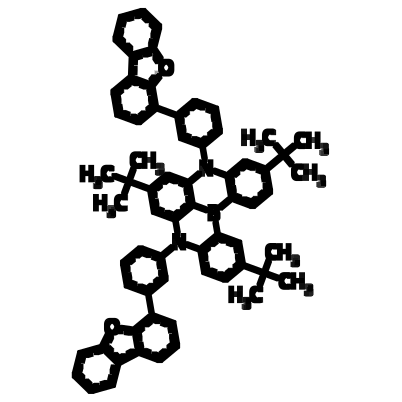 CC(C)(C)c1ccc2c(c1)B1c3ccc(C(C)(C)C)cc3N(c3cccc(-c4cccc5c4oc4ccccc45)c3)c3cc(C(C)(C)C)cc(c31)N2c1cccc(-c2cccc3c2oc2ccccc23)c1